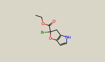 CCOC(=O)C1(Br)Cc2[nH]ccc2O1